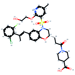 C/C(=C\c1ccc2c(c1)N(S(=O)(=O)c1cc(C)cnc1OCCO)C[C@H](CCC(=O)N1CCC(C(=O)O)CC1)O2)c1c(F)cccc1Cl